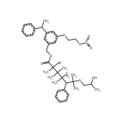 CC(O)CSC(C)(C)C(c1ccccc1)C(C)(C)C(C)(C)C(C)(C(=O)OCc1cc(OCCO[SH](=O)=O)cc(C(C)c2ccccc2)c1)C(C)C